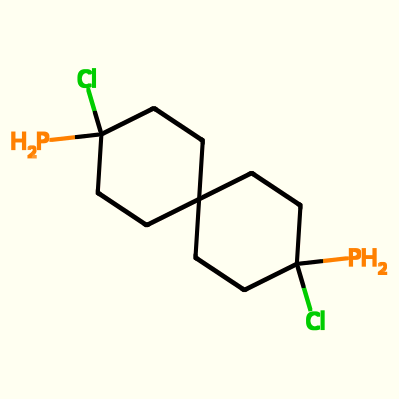 PC1(Cl)CCC2(CC1)CCC(P)(Cl)CC2